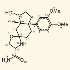 COc1ccc([C@]23CCN(C)[C@H]2CC2(CC3)N[C@H](C(N)=O)CO2)cc1OC